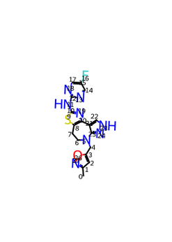 Cc1cc(CN2CCc3sc(Nc4ncc(F)cn4)nc3-c3c[nH]nc32)on1